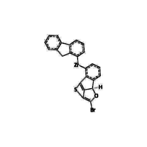 BrC1=C2SC3=C2[C@H](O1)c1ccc[c]([Zr][c]2cccc4c2Cc2ccccc2-4)c13